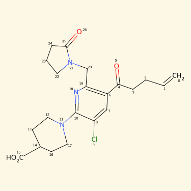 C=CCCC(=O)c1cc(Cl)c(N2CCC(C(=O)O)CC2)nc1CN1CCCC1=O